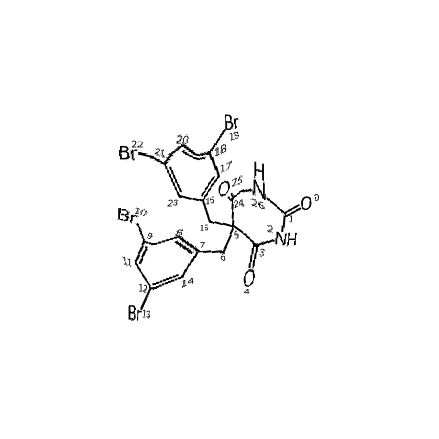 O=C1NC(=O)C(Cc2cc(Br)cc(Br)c2)(Cc2cc(Br)cc(Br)c2)C(=O)N1